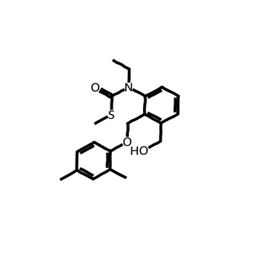 CCN(C(=O)SC)c1cccc(CO)c1COc1ccc(C)cc1C